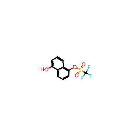 O=S(=O)(Oc1cccc2c(O)cccc12)C(F)(F)F